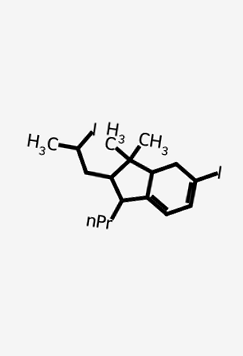 CCCC1C2=CC=C(I)CC2C(C)(C)C1CC(C)I